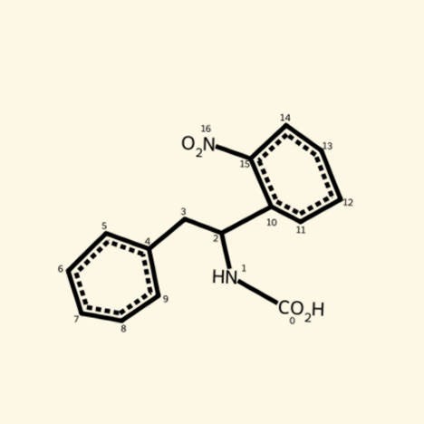 O=C(O)NC(Cc1ccccc1)c1ccccc1[N+](=O)[O-]